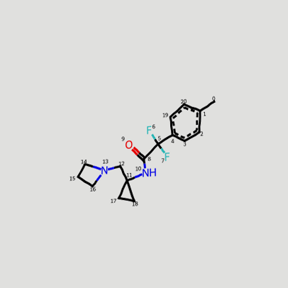 Cc1ccc(C(F)(F)C(=O)NC2(CN3CCC3)CC2)cc1